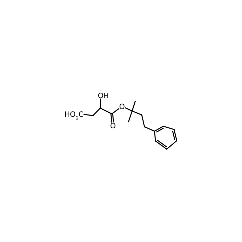 CC(C)(CCc1ccccc1)OC(=O)C(O)CC(=O)O